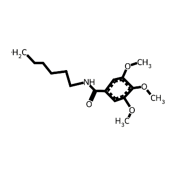 [CH2]CCCCCNC(=O)c1cc(OC)c(OC)c(OC)c1